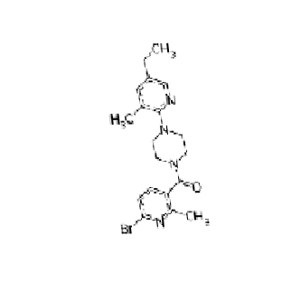 CCc1cnc(N2CCN(C(=O)c3ccc(Br)nc3C)CC2)c(C)c1